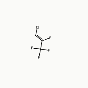 F/C(=C\Cl)C(F)(F)F